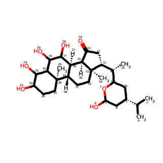 CC(C)[C@@H]1CC(O)OC([C@@H](C)[C@H]2CC(=O)[C@@H]3[C@@H]4C(O)C(O)C5C(O)C(O)CC[C@]5(C)[C@H]4CC[C@]23C)C1